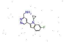 NCc1cc(-c2cc3ccc(F)cc3n2C2CC2)cnn1